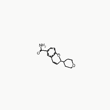 NC(=O)c1ccc2c(c1)C=CC(C1CCOCC1)O2